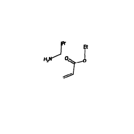 C=CC(=O)OCC.CC(C)CN